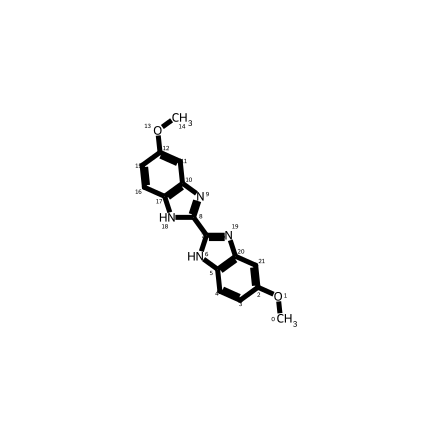 COc1ccc2[nH]c(-c3nc4cc(OC)ccc4[nH]3)nc2c1